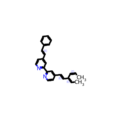 C\C=C/C(/C=C/c1ccnc(-c2cc(/C=C/c3ccccc3)ccn2)c1)=C\C